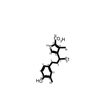 CCC(CCc1ccc(O)c(C)c1)c1csc(C(=O)O)c1C